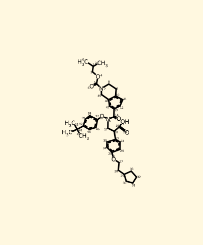 CC(C)COC(=O)N1CCc2ccc(C(=O)N(CC(C(=O)O)c3ccc(OCCC4CCCC4)cc3)Oc3ccc(C(C)(C)C)cc3)cc2C1